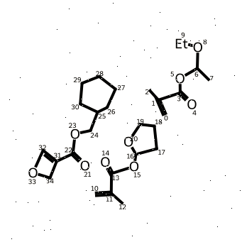 C=C(C)C(=O)OC(C)OCC.C=C(C)C(=O)OC1CCCO1.O=C(OCC1CCCCC1)C1=COC1